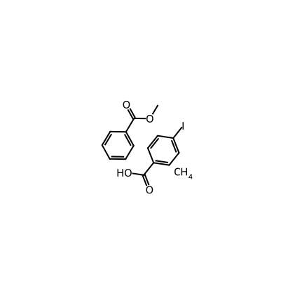 C.COC(=O)c1ccccc1.O=C(O)c1ccc(I)cc1